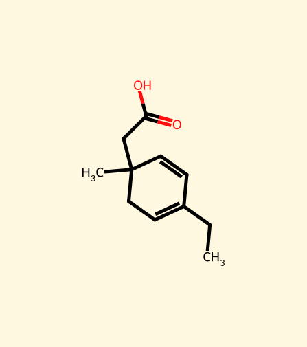 CCC1=CCC(C)(CC(=O)O)C=C1